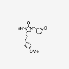 CCCn1c(CCCc2ccc(OC)cc2)cn(Cc2cccc(Cl)c2)c1=O